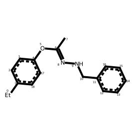 CCc1ccc(OC(C)=NNCc2ccccc2)cc1